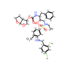 CC(C)CN(CC(O)C(Cc1ccccc1)NC(=O)OC1COC2OCCC12)S(=O)(=O)c1ccc([N+](=O)[O-])c(NCc2ccc(F)cc2F)c1